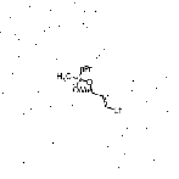 CCC=CCO[Si](C)(CCC)OC